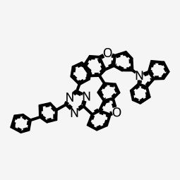 c1ccc(-c2ccc(-c3nc(-c4ccccc4)nc(-c4cccc5oc6ccc(-c7cccc8oc9ccc(-n%10c%11ccccc%11c%11ccccc%11%10)cc9c78)cc6c45)n3)cc2)cc1